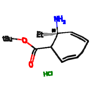 CC[C@]1(N)C=CC=CC1C(=O)OC(C)(C)C.Cl